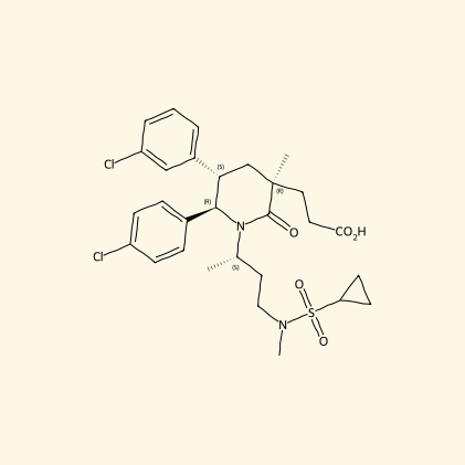 C[C@@H](CCN(C)S(=O)(=O)C1CC1)N1C(=O)[C@](C)(CCC(=O)O)C[C@@H](c2cccc(Cl)c2)[C@@H]1c1ccc(Cl)cc1